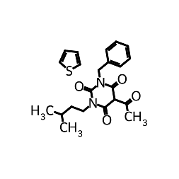 CC(=O)C1C(=O)N(CCC(C)C)C(=O)N(Cc2ccccc2)C1=O.c1ccsc1